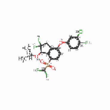 C[SiH](C)OC1c2c(S(=O)(=O)C(F)F)ccc(Oc3ccc(F)c(Cl)c3)c2CC1(F)F